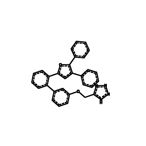 c1ccc(-c2cc(-c3ccccc3-c3cccc(OCc4nnn[nH]4)c3)oc2-c2ccccc2)cc1